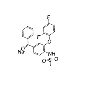 CS(=O)(=O)Nc1ccc(C(=O)c2ccccc2)cc1Oc1ccc(F)cc1F.[Na]